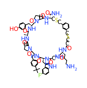 C[C@@H]1NC(=O)[C@@H]2CCCN2C(=O)[C@H](Cc2ccc(C(C)(C)C)cc2)NC(=O)[C@H](Cc2c[nH]c3ccc(F)cc23)NC(=O)CNC(=O)[C@H](CCCCN)NC(=O)CCSCc2cccc(c2)CSC[C@@H](C(N)=O)NC(=O)[C@@H]2CCCN2C(=O)[C@H](Cc2ccc(O)cc2)NC1=O